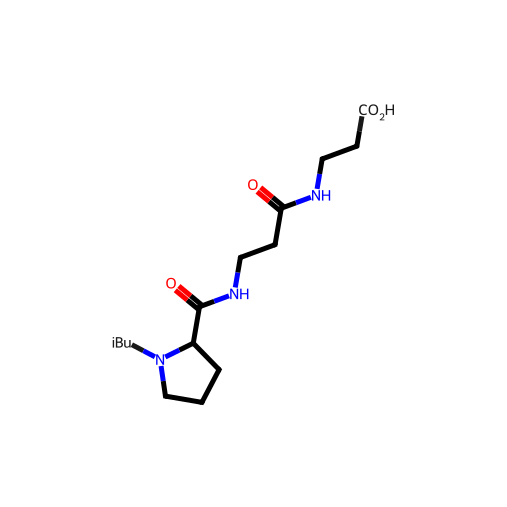 CCC(C)N1CCCC1C(=O)NCCC(=O)NCCC(=O)O